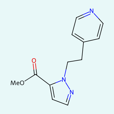 COC(=O)c1ccnn1CCc1ccncc1